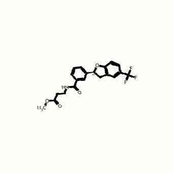 COC(=O)CCNC(=O)c1cccc([C@@H]2Cc3cc(C(F)(F)F)ccc3O2)c1